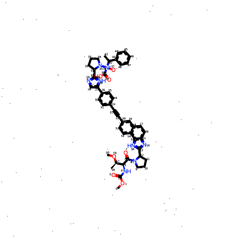 COC(=O)N[C@H](C(=O)N1CCCC1c1nc2ccc3cc(C#Cc4ccc(-c5cnc(C6CCCN6[N+]([O-])(C(=O)O)C(C)c6ccccc6)[nH]5)cc4)ccc3c2[nH]1)[C@@H](C)OC